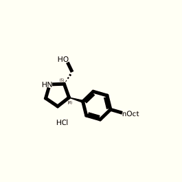 CCCCCCCCc1ccc([C@H]2CCN[C@@H]2CO)cc1.Cl